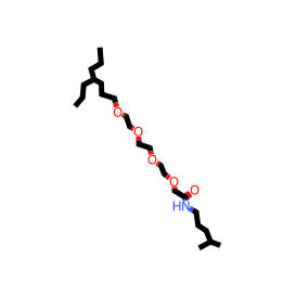 CCCC(CCC)CCCOCCOCCOCCOCC(=O)NCCCC(C)C